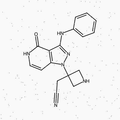 N#CCC1(n2nc(Nc3ccccc3)c3c(=O)[nH]ccc32)CNC1